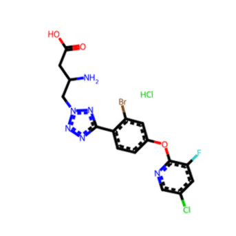 Cl.NC(CC(=O)O)Cn1nnc(-c2ccc(Oc3ncc(Cl)cc3F)cc2Br)n1